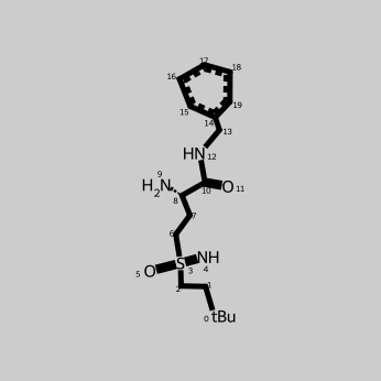 CC(C)(C)CCS(=N)(=O)CC[C@H](N)C(=O)NCc1ccccc1